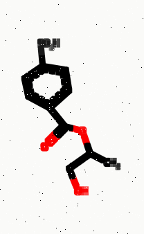 CC(CO)OC(=O)c1ccc(S(=O)(=O)O)cc1